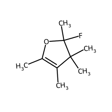 CC1=C(C)C(C)(C)C(C)(F)O1